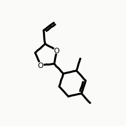 C=CC1COC(C2CCC(C)=CC2C)O1